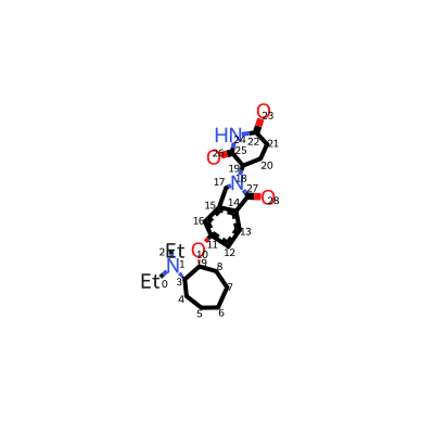 CCN(CC)[C@@H]1CCCCC[C@H]1Oc1ccc2c(c1)CN(C1CCC(=O)NC1=O)C2=O